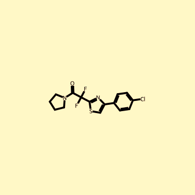 O=C(N1CCCC1)C(F)(F)c1nc(-c2ccc(Cl)cc2)cs1